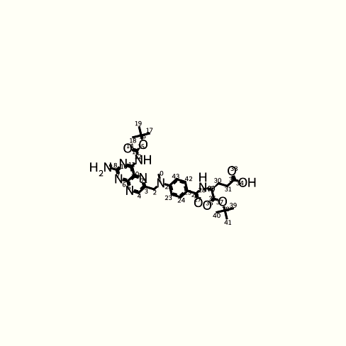 CN(Cc1cnc2nc(N)nc(NC(=O)OC(C)(C)C)c2n1)c1ccc(C(=O)N[C@@H](CCC(=O)O)C(=O)OC(C)(C)C)cc1